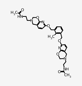 CC(=O)NCCN1COc2nc(OCc3cccc(COc4ccc5c(n4)OCN(CCNC(C)=O)C5)c3C)ccc2C1